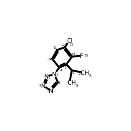 CC(C)c1c(-n2cnnn2)ccc(Cl)c1F